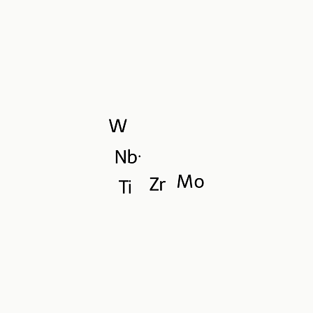 [Mo].[Nb].[Ti].[W].[Zr]